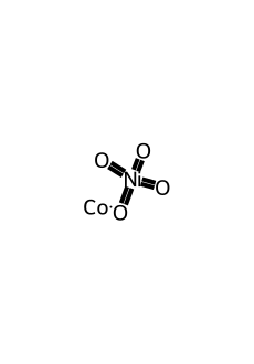 [Co].[O]=[Ni](=[O])(=[O])=[O]